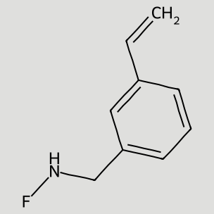 C=Cc1cccc(CNF)c1